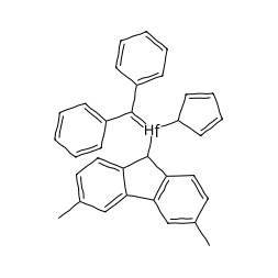 Cc1ccc2c(c1)-c1cc(C)ccc1[CH]2[Hf](=[C](c1ccccc1)c1ccccc1)[CH]1C=CC=C1